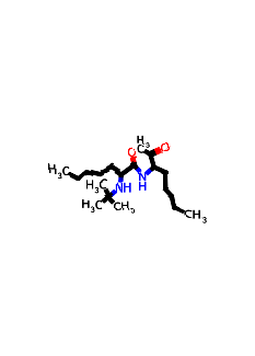 CCCCCC(NC(=O)C(CCCCC)NC(C)(C)C)C(C)=O